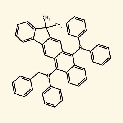 CC1(C)c2ccccc2-c2cc3c(N(Cc4ccccc4)c4ccccc4)c4ccccc4c(N(c4ccccc4)c4ccccc4)c3cc21